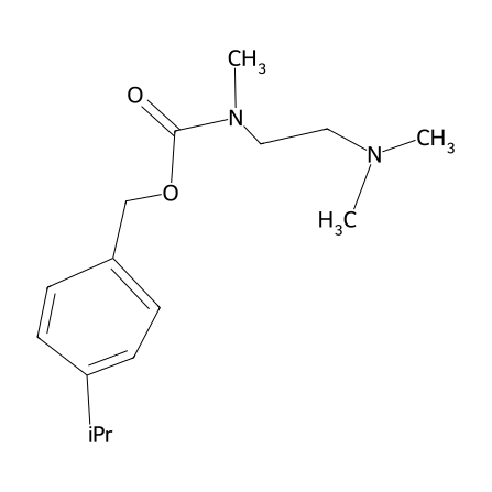 CC(C)c1ccc(COC(=O)N(C)CCN(C)C)cc1